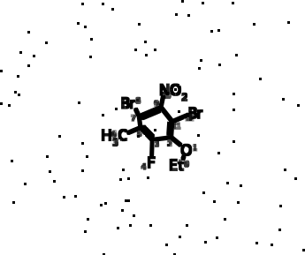 CCOc1c(F)c(C)c(Br)c([N+](=O)[O-])c1Br